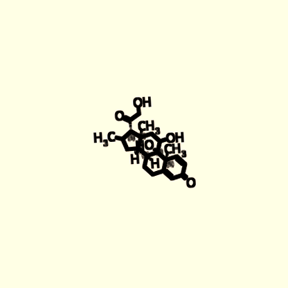 CC1C[C@H]2[C@@H]3CCC4=CC(=O)C=C[C@]4(C)[C@@]3(O)C(O)C[C@]2(C)[C@H]1C(=O)CO